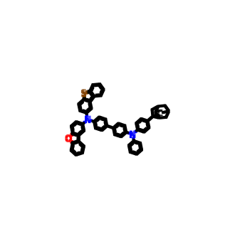 c1ccc(N(c2ccc(-c3ccc(N(c4ccc5oc6ccccc6c5c4)c4ccc5sc6ccccc6c5c4)cc3)cc2)c2ccc(C34CC5CC(CC3C5)C4)cc2)cc1